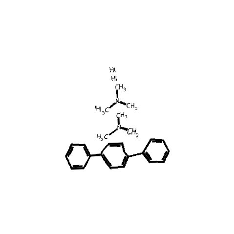 CN(C)C.CN(C)C.I.I.c1ccc(-c2ccc(-c3ccccc3)cc2)cc1